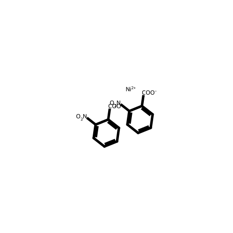 O=C([O-])c1ccccc1[N+](=O)[O-].O=C([O-])c1ccccc1[N+](=O)[O-].[Ni+2]